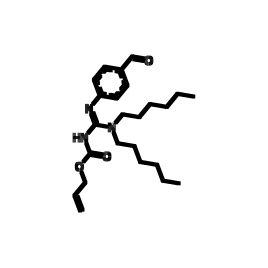 C=CCOC(=O)N/C(=N/c1ccc(C=O)cc1)N(CCCCCC)CCCCCC